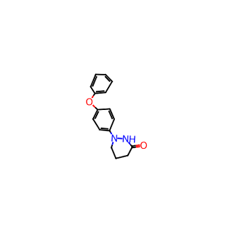 O=C1CCCN(c2ccc(Oc3ccccc3)cc2)N1